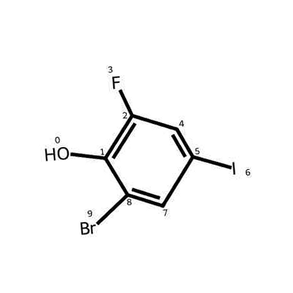 Oc1c(F)cc(I)cc1Br